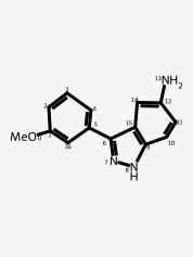 COc1cccc(-c2n[nH]c3ccc(N)cc23)c1